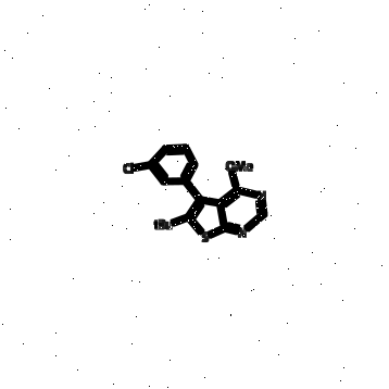 COc1ncnc2sc(C(C)(C)C)c(-c3cccc(Cl)c3)c12